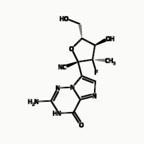 C[C@@]1(F)[C@H](O)[C@@H](CO)O[C@@]1(C#N)c1cnc2c(=O)[nH]c(N)nn12